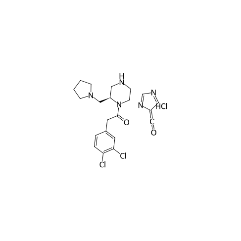 Cl.O=C(Cc1ccc(Cl)c(Cl)c1)N1CCNC[C@@H]1CN1CCCC1.O=C=C1C=NC=N1